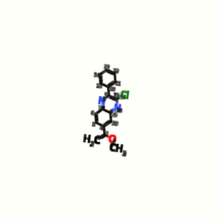 C=C(OC)c1ccc2nc(-c3ccccc3)c(Cl)nc2c1